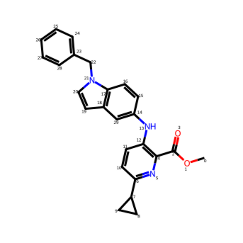 COC(=O)c1nc(C2CC2)ccc1Nc1ccc2c(ccn2Cc2ccccc2)c1